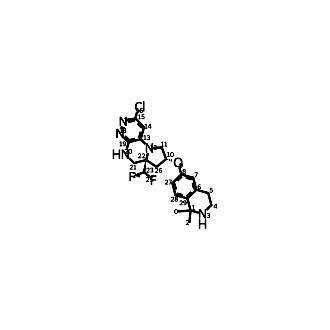 CC1(C)NCCc2cc(O[C@H]3CN4c5cc(Cl)nnc5NC[C@@]4(C(F)F)C3)ccc21